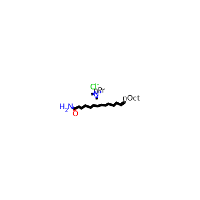 CCCCCCCC/C=C\CCCCCCCCCCCC(N)=O.CCC[N+](C)(C)C.[Cl-]